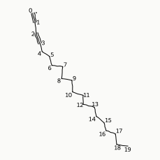 [C]#CC#CCCCCCCCCCCCCCCCC